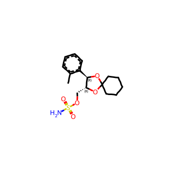 Cc1ccccc1[C@H]1OC2(CCCCC2)O[C@@H]1COS(N)(=O)=O